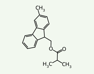 Cc1ccc2c(c1)-c1ccccc1C2COC(=O)C(C)C